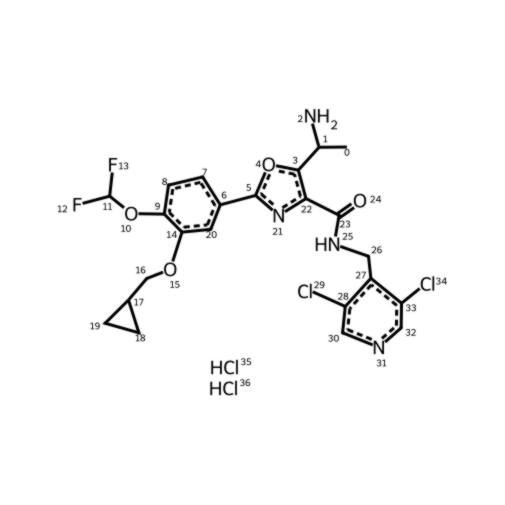 CC(N)c1oc(-c2ccc(OC(F)F)c(OCC3CC3)c2)nc1C(=O)NCc1c(Cl)cncc1Cl.Cl.Cl